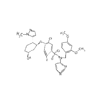 COc1ccc(CN(c2ccncn2)S(=O)(=O)c2cc(Cl)c(O[C@H]3C[C@@H](O)CC[C@@H]3c3ccnn3C)cc2F)c(OC)c1